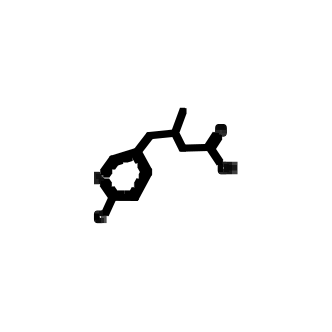 CC(CC(=O)O)Cc1ccc(Cl)nc1